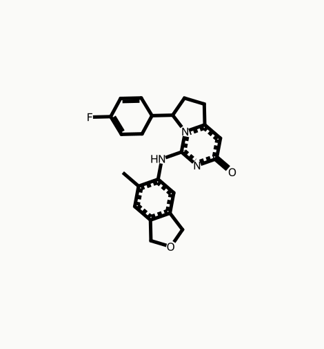 Cc1cc2c(cc1Nc1nc(=O)cc3n1C(C1C=CC(F)=CC1)CC3)COC2